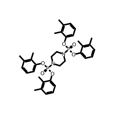 Cc1cccc(OP(=O)(Oc2cccc(C)c2C)N2CCN(P(=O)(Oc3cccc(C)c3C)Oc3cccc(C)c3C)CC2)c1C